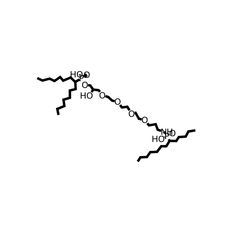 CCCCCCCC(CCCCC)P(=O)(O)NCCCOCCOCCOCCOCC(O)COP(=O)(O)C(CCCCCCC)CCCCCCC